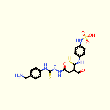 NCc1ccc(NC(=S)NNC(=O)CC(C=O)C(S)Nc2ccc(NS(=O)(=O)O)cc2)cc1